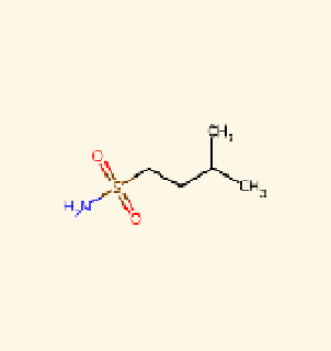 CC(C)CCS(N)(=O)=O